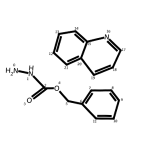 NNC(=O)OCc1ccccc1.c1ccc2ncccc2c1